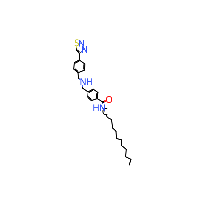 CCCCCCCCCCCCNC(=O)c1ccc(CNCc2ccc(-c3csnn3)cc2)cc1